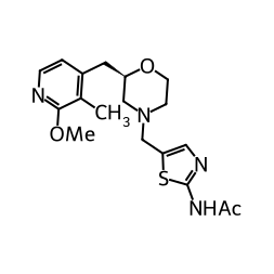 COc1nccc(C[C@@H]2CN(Cc3cnc(NC(C)=O)s3)CCO2)c1C